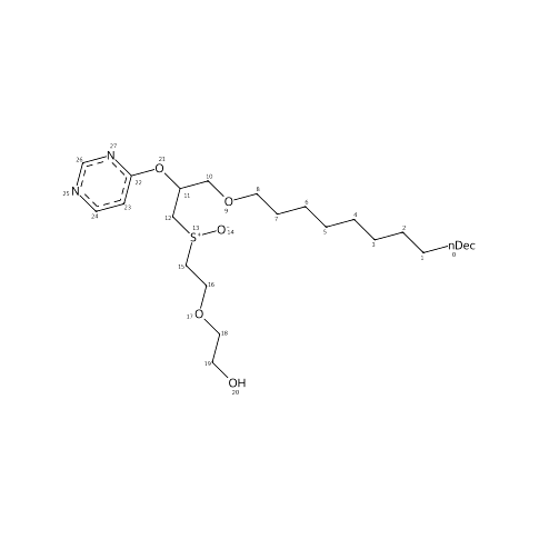 CCCCCCCCCCCCCCCCCCOCC(C[S+]([O-])CCOCCO)Oc1ccncn1